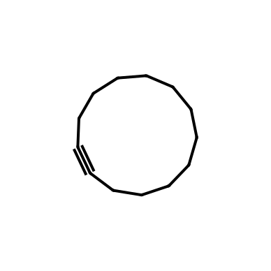 C1#CCCCCCCCCCCC1